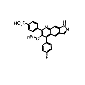 CCCOc1c(-c2ccc(C(=O)O)cc2)nc2cc3[nH]ncc3cc2c1-c1ccc(F)cc1